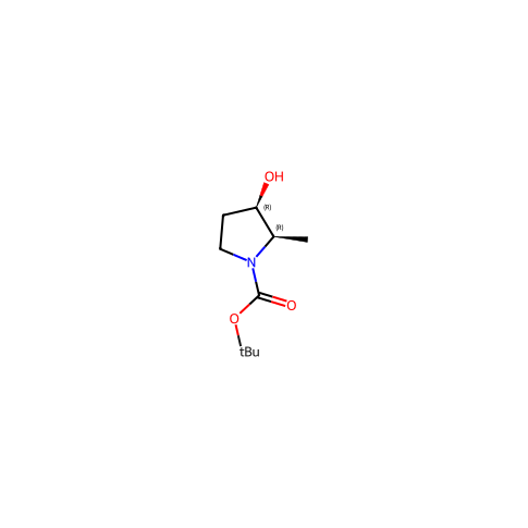 C[C@@H]1[C@H](O)CCN1C(=O)OC(C)(C)C